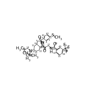 CSc1ccc(S(=O)(=O)CC2C[C@H](N(CC(C)C)C(C)C)CCC2NC(=O)CNC(=O)c2cccc(C(F)(F)F)c2)cc1